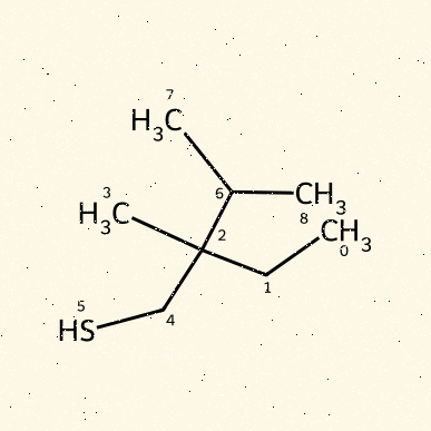 CCC(C)(CS)C(C)C